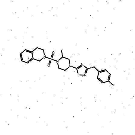 CC1CN(c2nc(Cc3ccc(F)cc3)ns2)CCN1S(=O)(=O)N1CCc2ccccc2C1